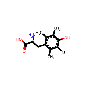 Cc1c(C)c(C[C@H](N)C(=O)O)c(C)c(C)c1O